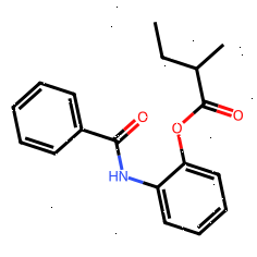 CCC(C)C(=O)Oc1ccccc1NC(=O)c1ccccc1